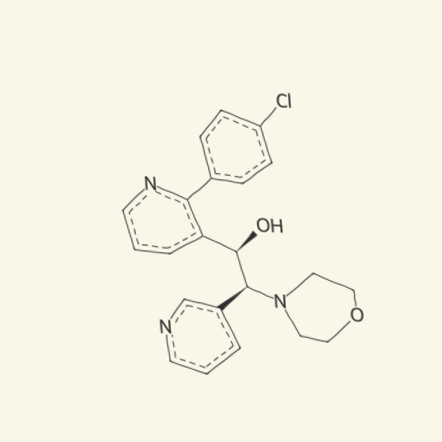 O[C@H](c1cccnc1-c1ccc(Cl)cc1)[C@H](c1cccnc1)N1CCOCC1